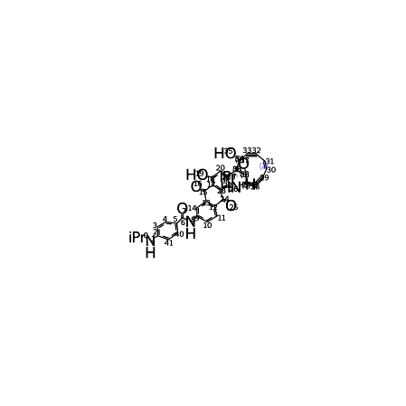 CC(C)Nc1ccc(C(=O)Nc2ccc3c(c2)C(=O)c2c(O)cc4c(c2C3=O)N[C@H]2C#C/C=C\C#C[C@@H](O)[C@@]43O[C@@]23C(C)C)cc1